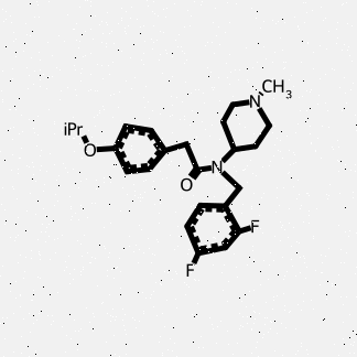 CC(C)Oc1ccc(CC(=O)N(Cc2ccc(F)cc2F)C2CCN(C)CC2)cc1